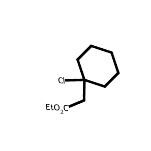 CCOC(=O)CC1(Cl)CCCCC1